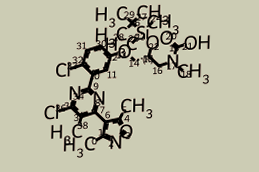 Cc1noc(C)c1-c1nc(-c2cc(OC[C@@H](CN(C)C(=O)O)O[Si](C)(C)C(C)(C)C)ccc2Cl)nc(Cl)c1C